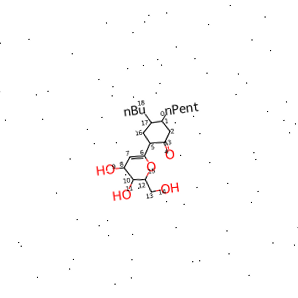 CCCCCC1CC(=O)C(C2=CC(O)C(O)C(CO)O2)CC1CCCC